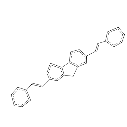 C(=C\c1ccc2c(c1)Cc1cc(/C=C/c3ccccc3)ccc1-2)/c1ccccc1